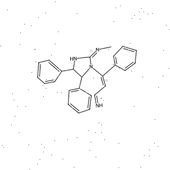 C/N=C1/NC(c2ccccc2)C(c2ccccc2)N1/C(=C\C=N)c1ccccc1